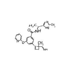 Cc1ncc([C@@H](C)NC(=O)c2cc(Oc3ccccn3)cc(C3=CCC3(C)C=N)c2)cn1